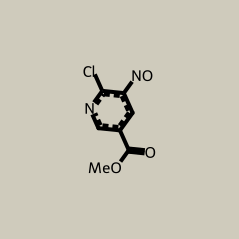 COC(=O)c1cnc(Cl)c(N=O)c1